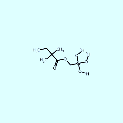 [3H]O[Si](COC(=O)C(C)(C)CC)(O[3H])O[3H]